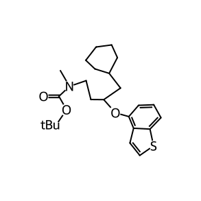 CN(CCC(CC1CCCCC1)Oc1cccc2sccc12)C(=O)OC(C)(C)C